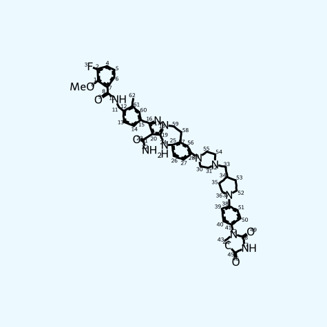 COc1c(F)cccc1C(=O)NCc1ccc(-c2nn3c(c2C(N)=O)Nc2ccc(N4CCN(CC5CCN(c6ccc(N7CCC(=O)NC7=O)cc6)CC5)CC4)cc2CC3)cc1C